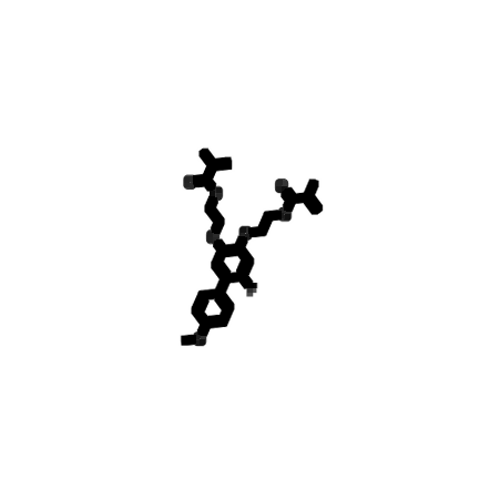 C=C(C)C(=O)OCCOc1cc(F)c(-c2ccc(OC)cc2)cc1OCCOC(=O)C(=C)C